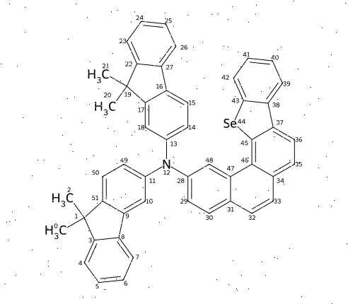 CC1(C)c2ccccc2-c2cc(N(c3ccc4c(c3)C(C)(C)c3ccccc3-4)c3ccc4ccc5ccc6c7ccccc7[se]c6c5c4c3)ccc21